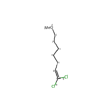 COCCCCCC=C(Cl)Cl